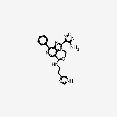 CCn1c(-c2nonc2N)nc2c(-c3ccccc3)ncc(C(=O)NCCc3c[nH]cn3)c21